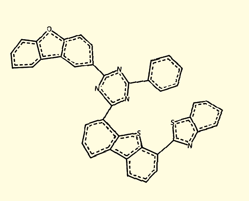 c1ccc(-c2nc(-c3ccc4oc5ccccc5c4c3)nc(-c3cccc4c3sc3c(-c5nc6ccccc6s5)cccc34)n2)cc1